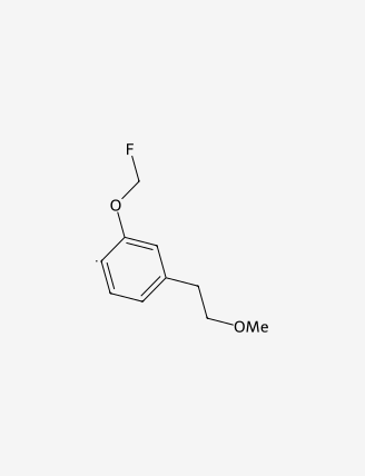 COCCc1cc[c]c(OCF)c1